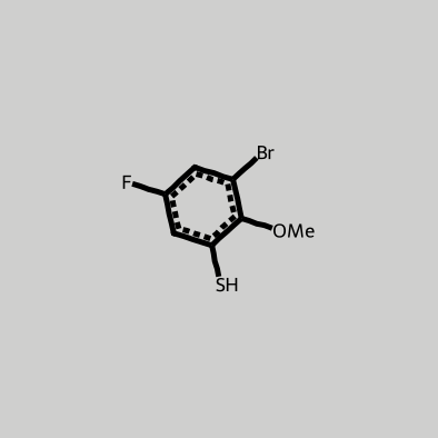 COc1c(S)cc(F)cc1Br